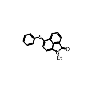 CCN1C(=O)c2cccc3c(Sc4ccccc4)ccc1c23